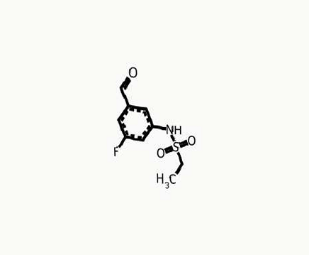 CCS(=O)(=O)Nc1cc(F)cc(C=O)c1